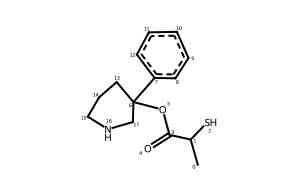 CC(S)C(=O)OC1(c2ccccc2)CCCNC1